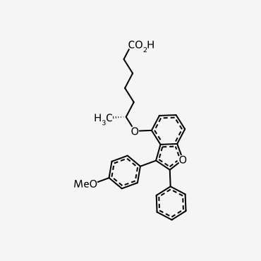 COc1ccc(-c2c(-c3ccccc3)oc3cccc(O[C@H](C)CCCCC(=O)O)c23)cc1